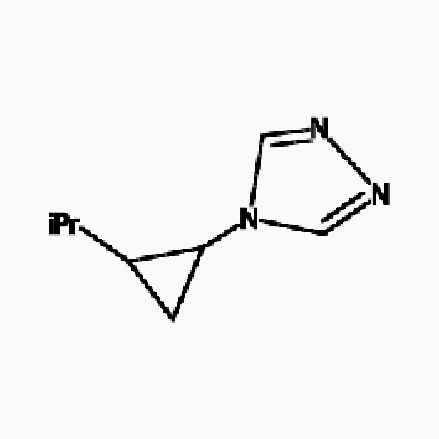 CC(C)C1CC1n1cnnc1